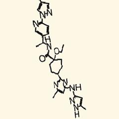 CCO[C@]1(C(=O)N[C@@H](C)c2ccc(-n3cc(F)cn3)nc2)CC[C@H](c2nc(C)cc(Nc3cc(C)[nH]n3)n2)CC1